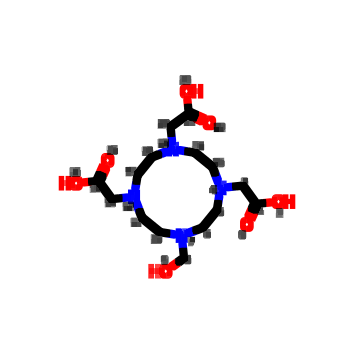 O=C(O)CN1CCN(CO)CCN(CC(=O)O)CCN(CC(=O)O)CC1